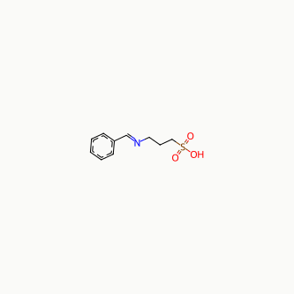 O=S(=O)(O)CCC/N=C/c1ccccc1